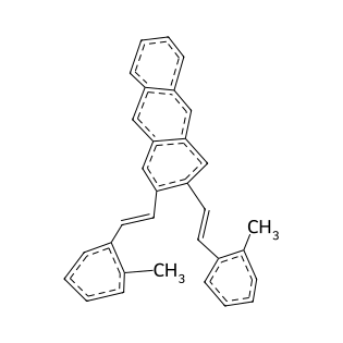 Cc1ccccc1C=Cc1cc2cc3ccccc3cc2cc1C=Cc1ccccc1C